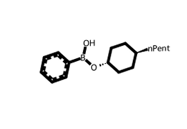 CCCCC[C@H]1CC[C@H](OB(O)c2ccccc2)CC1